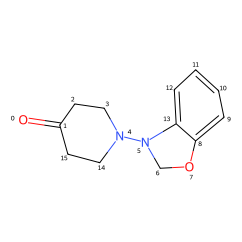 O=C1CCN(N2COc3ccccc32)CC1